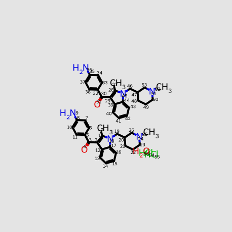 Cc1c(C(=O)c2ccc(N)cc2)c2ccccc2n1CC1CCCN(C)C1.Cc1c(C(=O)c2ccc(N)cc2)c2ccccc2n1CC1CCCN(C)C1.Cl.Cl.O